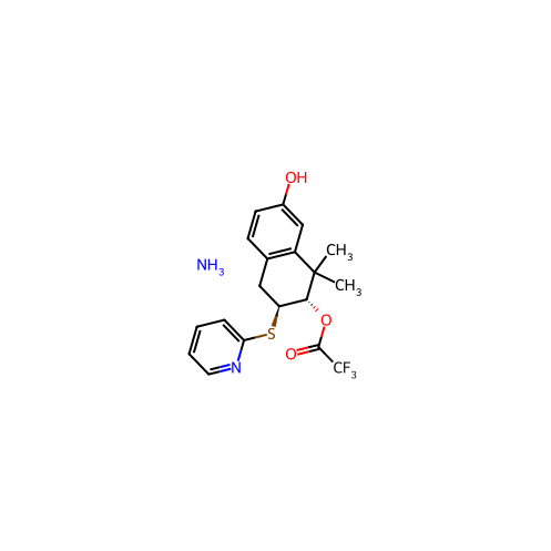 CC1(C)c2cc(O)ccc2C[C@H](Sc2ccccn2)[C@H]1OC(=O)C(F)(F)F.N